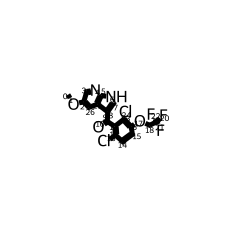 COc1cnc2[nH]cc(C(=O)c3c(Cl)ccc(OCC(F)(F)F)c3Cl)c2c1